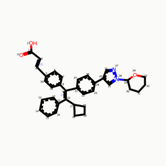 O=C(O)/C=C/c1ccc(/C(=C(\c2ccccc2)C2CCC2)c2ccc(-c3cnn(C4CCCCO4)c3)cc2)cc1